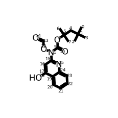 CC(C)(C)CC(C)(C)OC(=O)N(OC=O)c1cc(O)c2ccccc2n1